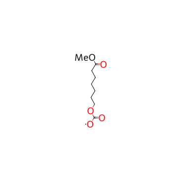 [CH2]OC(=O)CCCCCCOC([O])=O